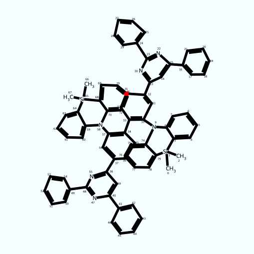 C[Si]1(C)c2ccccc2N(c2cc(-c3cc(-c4ccccc4)nc(-c4ccccc4)n3)ccc2-c2ccc(-c3cc(-c4ccccc4)nc(-c4ccccc4)n3)cc2N2c3ccccc3[Si](C)(C)c3ccccc32)c2ccccc21